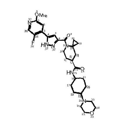 COc1cc(-c2cc(C(=O)N3CC[C@H](C(=O)NC4CCC(N5CCOCC5)CC4)CC34CC4)n[nH]2)c(F)cn1